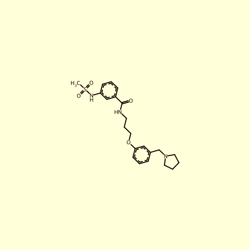 CS(=O)(=O)Nc1cccc(C(=O)NCCCOc2cccc(CN3CCCC3)c2)c1